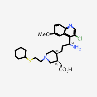 COc1ccc2ncc(Cl)c([C@@H](N)CC[C@@H]3CCN(CCSC4CCCCC4)C[C@H]3CC(=O)O)c2c1